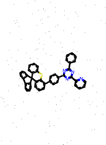 c1ccc(-c2nc(-c3ccc(-c4cccc5c4Sc4ccccc4C54c5ccccc5-c5ccccc54)cc3)nc(-c3ccccn3)n2)cc1